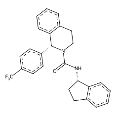 O=C(N[C@H]1CCc2ccccc21)N1CCc2ccccc2[C@H]1c1ccc(C(F)(F)F)cc1